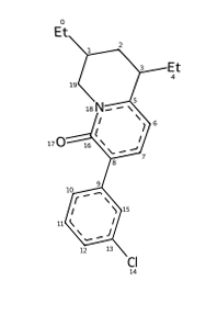 CCC1CC(CC)c2ccc(-c3cccc(Cl)c3)c(=O)n2C1